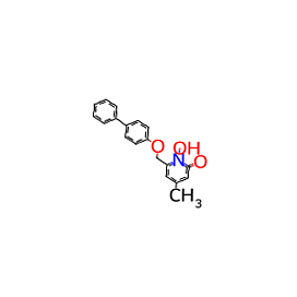 Cc1cc(COc2ccc(-c3ccccc3)cc2)n(O)c(=O)c1